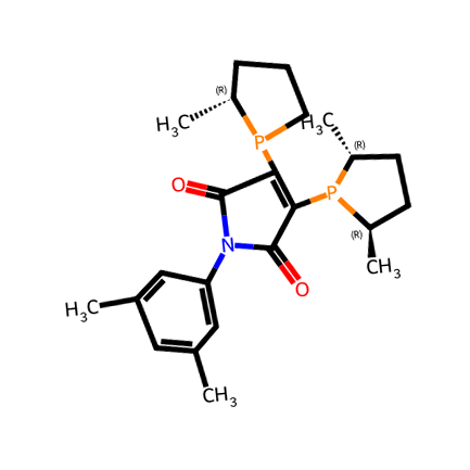 Cc1cc(C)cc(N2C(=O)C(P3CCC[C@H]3C)=C(P3[C@H](C)CC[C@H]3C)C2=O)c1